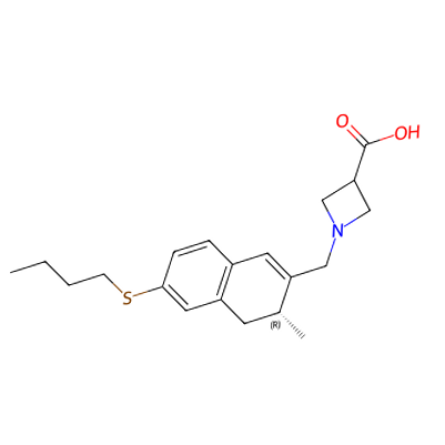 CCCCSc1ccc2c(c1)C[C@@H](C)C(CN1CC(C(=O)O)C1)=C2